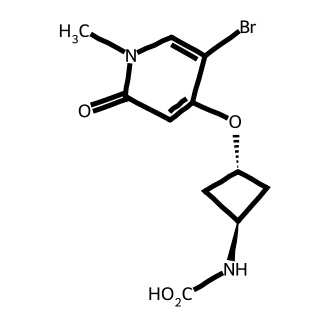 Cn1cc(Br)c(O[C@H]2C[C@H](NC(=O)O)C2)cc1=O